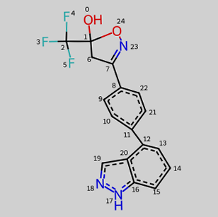 OC1(C(F)(F)F)CC(c2ccc(-c3cccc4[nH]ncc34)cc2)=NO1